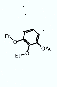 CCOc1[c]ccc(OC(C)=O)c1OCC